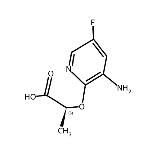 C[C@H](Oc1ncc(F)cc1N)C(=O)O